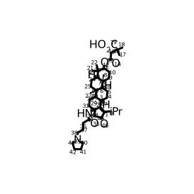 CC(C)C1=C2[C@H]3CC[C@@H]4[C@@]5(C)CC[C@H](OC(=O)CC(C)(C)C(=O)O)C(C)(C)[C@@H]5CC[C@@]4(C)[C@]3(C)CC[C@@]2(NC(=O)CCCN2CCCC2)CC1=O